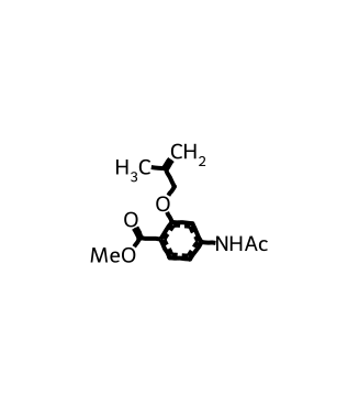 C=C(C)COc1cc(NC(C)=O)ccc1C(=O)OC